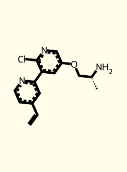 C=Cc1ccnc(-c2cc(OC[C@@H](C)N)cnc2Cl)c1